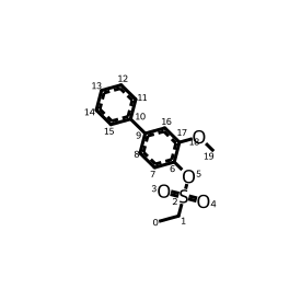 CCS(=O)(=O)Oc1ccc(-c2ccccc2)cc1OC